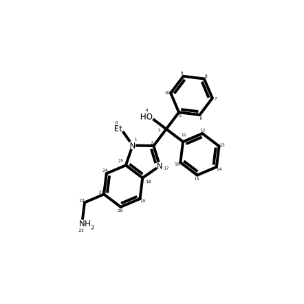 CCn1c(C(O)(c2ccccc2)c2ccccc2)nc2ccc(CN)cc21